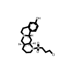 O=S(=O)(CCCCl)N1CCC[C@H]2CN3CCc4cc(O)ccc4[C@@H]3C[C@H]21